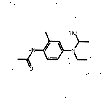 CCN(c1ccc(NC(C)=O)c(C)c1)C(C)O